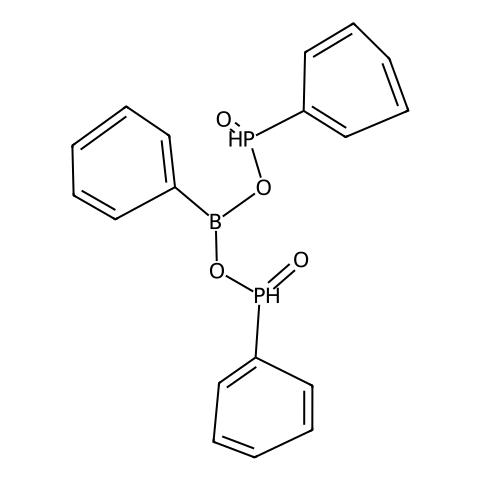 O=[PH](OB(O[PH](=O)c1ccccc1)c1ccccc1)c1ccccc1